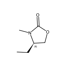 CC[C@@H]1COC(=O)N1C